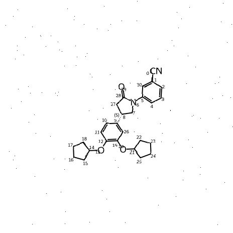 N#Cc1cccc(N2C[C@H](c3ccc(OC4CCCC4)c(OC4CCCC4)c3)CC2=O)c1